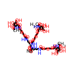 CC(=O)N[C@@H]1[C@@H](O)[C@@H](O)[C@@H](CO)O[C@H]1C(=O)COCCOCCOCC(=O)NCCCC[C@H](NC(=O)[C@H](CCCCNC(=O)COCCOCCOCC(=O)[C@@H]1O[C@H](CO)[C@H](O)[C@H](O)[C@H]1NC(C)=O)NC(=O)COCCOCCOCC(=O)[C@@H]1O[C@H](CO)[C@H](O)[C@H](O)[C@H]1NC(C)=O)C(=O)[O-].[Na+]